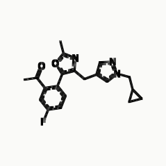 CC(=O)c1cc(F)ccc1-c1oc(C)nc1Cc1cnn(CC2CC2)c1